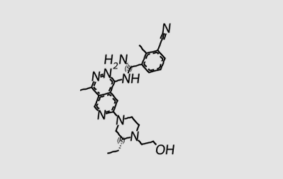 CC[C@@H]1CN(c2cc3c(N[C@H](N)c4cccc(C#N)c4C)nnc(C)c3cn2)CCN1CCO